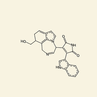 O=C1NC(=O)C(C2C=NCC3=c4c(ccn42)=CCC3CO)=C1c1c[nH]c2ccccc12